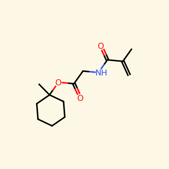 C=C(C)C(=O)NCC(=O)OC1(C)CCCCC1